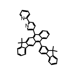 CC1(C)c2ccccc2-c2ccc(-c3c4ccccc4c(-c4ccc(-c5ccccn5)nc4)c4cc5c(cc34)-c3ccccc3C5(C)C)cc21